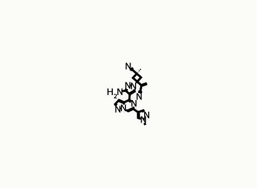 C=C(C#N)[C@]1(n2cc(-c3nc(-c4cnn(C)c4)cn4nccc34)c(N)n2)C[C@@](C)(C#N)C1